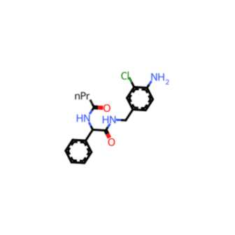 CCCC(=O)NC(C(=O)NCc1ccc(N)c(Cl)c1)c1ccccc1